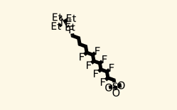 CC[N+](CC)(CC)CC.O=S(=O)([O-])CC(F)C(F)C(F)C(F)C(F)C(F)C(F)CCCCF